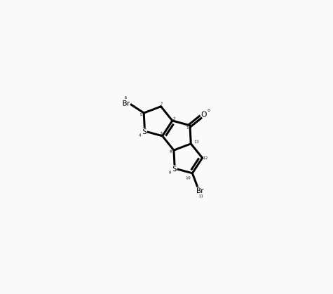 O=C1C2=C(SC(Br)C2)C2SC(Br)=CC12